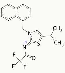 CC(C)c1cn(Cc2cccc3ccccc23)/c(=N/C(=O)C(F)(F)F)s1